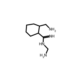 N=C(NCN)C1CCCCC1CN